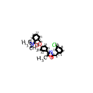 Cc1oc(Cc2cccc(Cl)c2)nc1-c1ccc(OCc2ccccc2C(=O)N(C)C)cc1